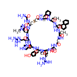 CC[C@@H]1NC(=O)[C@H](Cc2ccccc2)NC(=O)CSC[C@@H](C(=O)NCC(N)=O)NC(=O)[C@H](Cc2cncn2C)NC(=O)[C@H](CCCNC(=N)N)NC(=O)[C@H](Cc2c[nH]cn2)NC(=O)[C@H](Cc2ccc(O)cc2)N(C)C(=O)[C@H](CCCNC(=N)N)NC(=O)[C@H](CO)NC(=O)CNC(=O)[C@H](C)NC(=O)[C@H](Cc2cccc3ccccc23)NC1=O